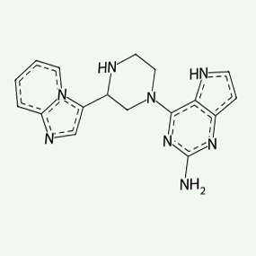 Nc1nc(N2CCNC(c3cnc4ccccn34)C2)c2[nH]ccc2n1